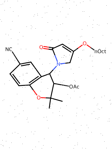 CCCCCCCCOC1=CC(=O)N(C2c3cc(C#N)ccc3OC(C)(C)C2OC(C)=O)C1